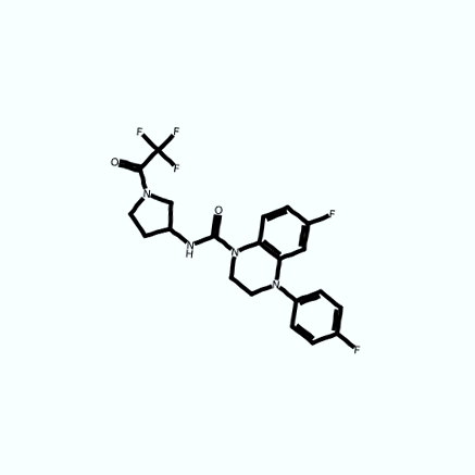 O=C(NC1CCN(C(=O)C(F)(F)F)C1)N1CCN(c2ccc(F)cc2)c2cc(F)ccc21